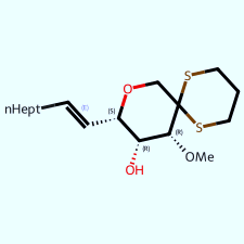 CCCCCCC/C=C/[C@@H]1OCC2(SCCCS2)[C@H](OC)[C@@H]1O